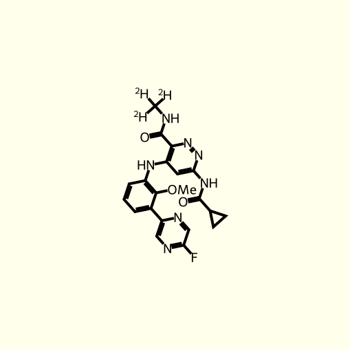 [2H]C([2H])([2H])NC(=O)c1nnc(NC(=O)C2CC2)cc1Nc1cccc(-c2cnc(F)cn2)c1OC